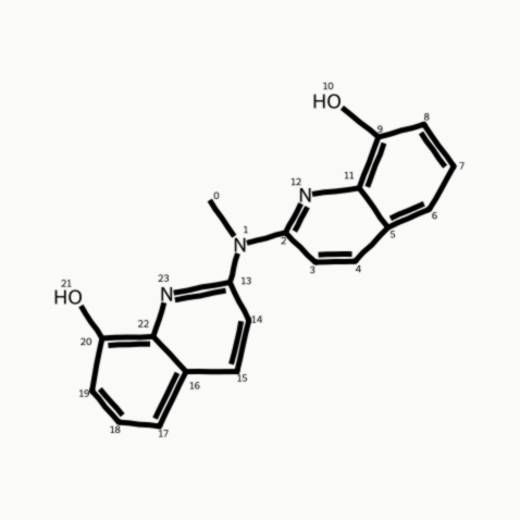 CN(c1ccc2cccc(O)c2n1)c1ccc2cccc(O)c2n1